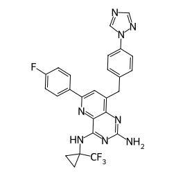 Nc1nc(NC2(C(F)(F)F)CC2)c2nc(-c3ccc(F)cc3)cc(Cc3ccc(-n4cncn4)cc3)c2n1